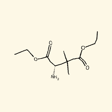 CCOC(=O)[C@@H](N)C(C)(C)C(=O)OCC